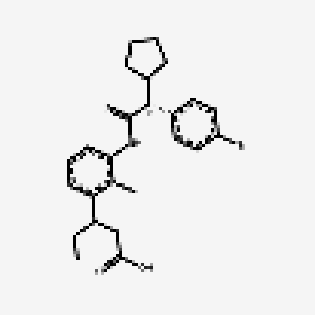 CCC(CC(=O)O)c1cccc(NC(=O)[C@@H](c2ccc(Br)cc2)C2CCCC2)c1C